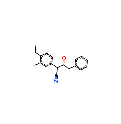 CCc1ccc(C(C#N)C(=O)Cc2ccccc2)cc1C